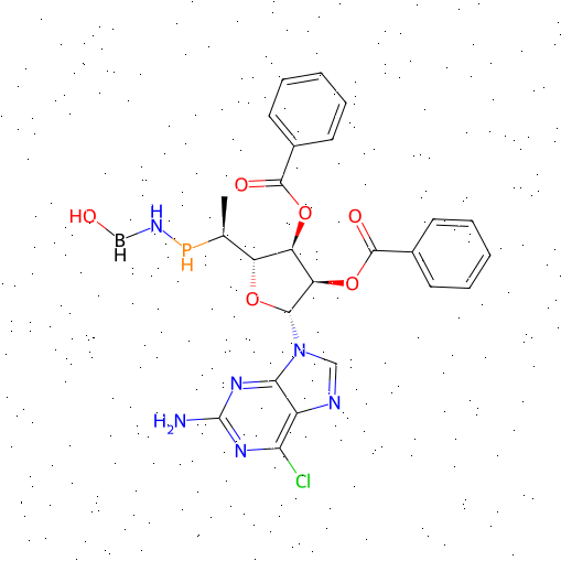 C[C@H](PNBO)[C@H]1O[C@@H](n2cnc3c(Cl)nc(N)nc32)[C@H](OC(=O)c2ccccc2)[C@@H]1OC(=O)c1ccccc1